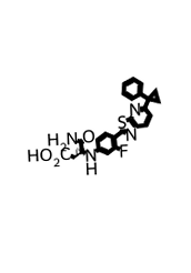 NC(=O)[C@H](CC(=O)O)Nc1ccc(-c2nc3ccc(C4(c5ccccc5)CC4)nc3s2)c(F)c1